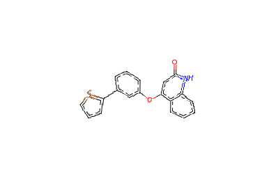 O=c1cc(Oc2cccc(-c3cccs3)c2)c2ccccc2[nH]1